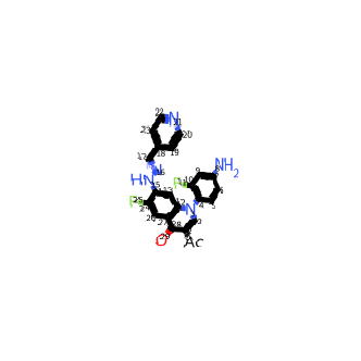 CC(=O)c1cn(-c2ccc(N)cc2F)c2cc(N/N=C/c3ccncc3)c(F)cc2c1=O